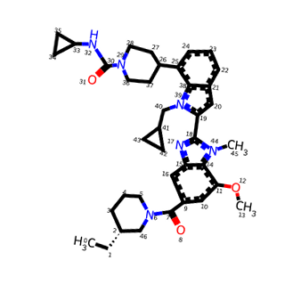 CC[C@@H]1CCCN(C(=O)c2cc(OC)c3c(c2)nc(-c2cc4cccc(C5CCN(C(=O)NC6CC6)CC5)c4n2CC2CC2)n3C)C1